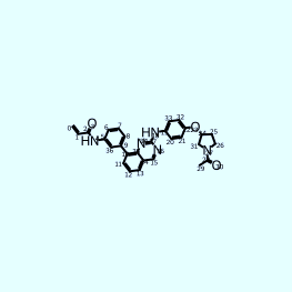 C=CC(=O)Nc1cccc(-c2cccc3cnc(Nc4ccc(O[C@H]5CCN(C(C)=O)C5)cc4)nc23)c1